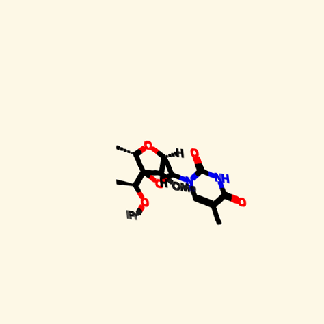 CO[C@H]1[C@H]2O[C@@H](C)C1([C@H](C)OC(C)C)OC2n1cc(C)c(=O)[nH]c1=O